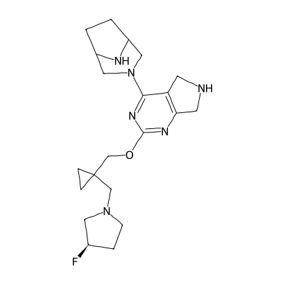 F[C@@H]1CCN(CC2(COc3nc4c(c(N5CC6CCC(C5)N6)n3)CNC4)CC2)C1